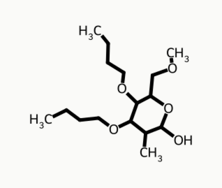 CCCCOC1C(COC)OC(O)C(C)C1OCCCC